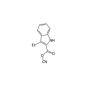 CCc1c(C(=O)OC#N)[nH]c2ccccc12